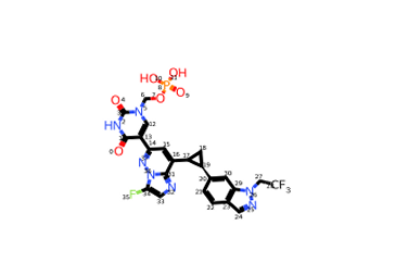 O=c1[nH]c(=O)n(COP(=O)(O)O)cc1-c1cc(C2C[C@H]2c2ccc3cnn(CC(F)(F)F)c3c2)c2ncc(F)n2n1